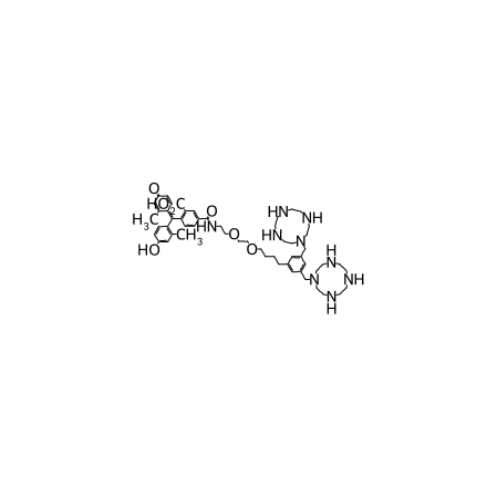 CC1=CC(=O)C=C/C1=C(/c1ccc(O)cc1C)c1ccc(C(=O)NCCOCCOCCCCc2cc(CN3CCNCCNCCNCC3)cc(CN3CCNCCNCCNCC3)c2)cc1C(=O)O